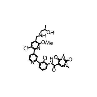 COc1nc(-c2ccnc(-c3cccc(NC(=O)c4cn(C)c(=O)n(C)c4=O)c3Cl)c2)c(Cl)cc1CNC[C@@H](C)O